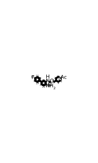 CC(=O)N1CCC(COC(=O)Nc2cc(-c3ccc(F)cc3)ccc2N)CC1